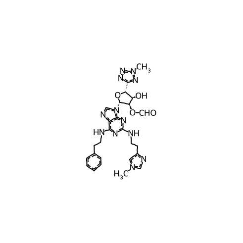 Cn1cnc(CCNc2nc(NCCc3ccccc3)c3ncn([C@@H]4O[C@H](c5nnn(C)n5)[C@@H](O)[C@H]4OC=O)c3n2)c1